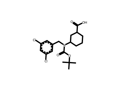 CC(C)(C)OC(=O)N(Cc1cc(Cl)cc(Cl)c1)C1CCCC(C(=O)O)C1